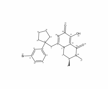 C[C@H]1Cn2c(CC3(c4cccc(Br)c4)CCCC3)nc(=O)c(O)c2C(=O)N1C